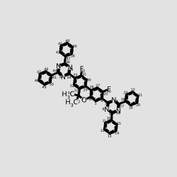 CC1(C)Oc2cc(-c3nc(-c4ccccc4)nc(-c4ccccc4)n3)c(F)cc2-c2cc(F)c(-c3nc(-c4ccccc4)nc(-c4ccccc4)n3)cc21